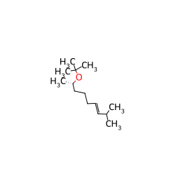 CC(C)/C=C/CCC[C@H](C)OC(C)(C)C